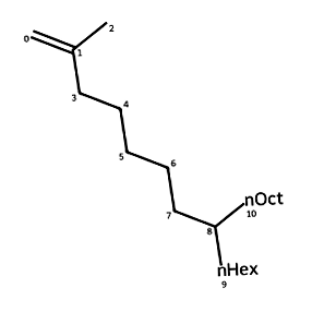 C=C(C)CCCCCC(CCCCCC)CCCCCCCC